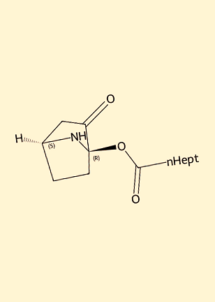 CCCCCCCC(=O)O[C@]12CC[C@@H](CC1=O)N2